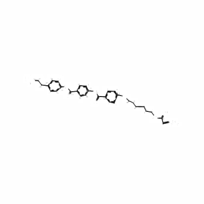 C=CC(=O)OCCCCCCOc1ccc(C(=O)Oc2ccc(C(=O)Oc3ccc(CCC)cc3)cc2)cc1